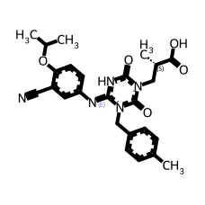 Cc1ccc(Cn2c(=O)n(C[C@H](C)C(=O)O)c(=O)[nH]/c2=N\c2ccc(OC(C)C)c(C#N)c2)cc1